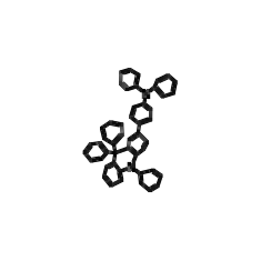 c1ccc(N(c2ccccc2)c2ccc(-c3ccc4c(c3)C(c3ccccc3)(c3ccccc3)c3ccccc3N4c3ccccc3)cc2)cc1